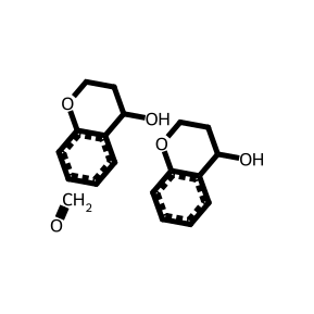 C=O.OC1CCOc2ccccc21.OC1CCOc2ccccc21